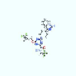 C[C@H](NC(=O)c1nc(OCC2CC2(F)F)nc(N2CCC(c3n[nH]c4ccccc34)CC2)n1)C(F)(F)F